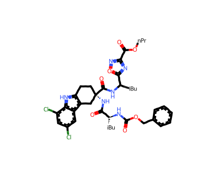 CCCOC(=O)c1noc(C(NC(=O)[C@]2(NC(=O)[C@@H](NC(=O)OCc3ccccc3)[C@@H](C)CC)CCc3[nH]c4c(Cl)cc(Cl)cc4c3C2)C(C)CC)n1